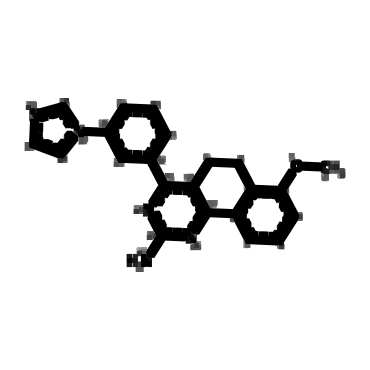 COc1cccc2c1CCc1c(-c3cccc(-n4ccnc4)c3)nc(N)nc1-2